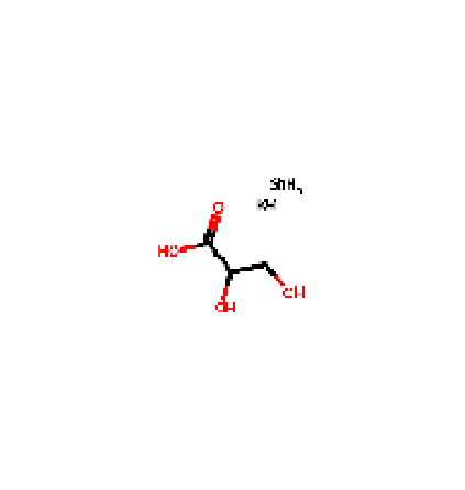 O=C(O)C(O)CO.[KH].[SbH3]